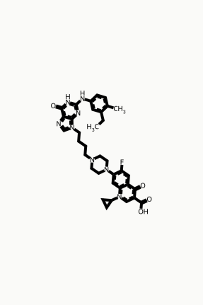 CCc1cc(Nc2nc3c(ncn3CCCCN3CCN(c4cc5c(cc4F)c(=O)c(C(=O)O)cn5C4CC4)CC3)c(=O)[nH]2)ccc1C